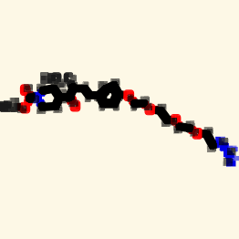 CCOC(=O)C(CCc1ccc(OCCOCCOCCOCCN=[N+]=[N-])cc1)C(=O)C1CCN(C(=O)OC(C)(C)C)CC1